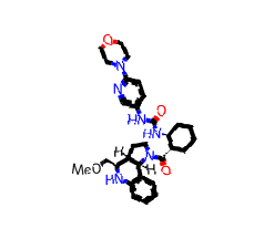 COC[C@@H]1Nc2ccccc2[C@H]2[C@@H]1CCN2C(=O)[C@H]1CCCC[C@H]1NC(=O)Nc1ccc(N2CCOCC2)nc1